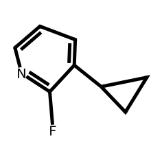 Fc1ncccc1C1CC1